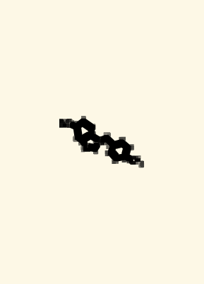 N#Cc1ccc2c(c1)N=C[SH]2Cc1ccc(C(F)(F)F)cc1